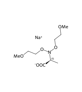 COCCON(OCCOC)[C@@H](C)C(=O)[O-].[Na+]